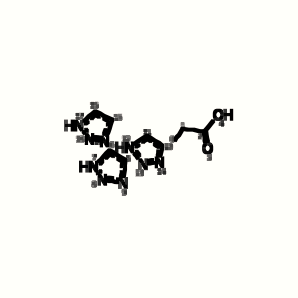 CCC(=O)O.c1c[nH]nn1.c1c[nH]nn1.c1c[nH]nn1